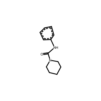 O=C(Nc1cc[c]cc1)N1CCCCC1